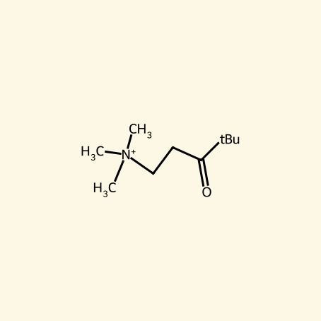 CC(C)(C)C(=O)CC[N+](C)(C)C